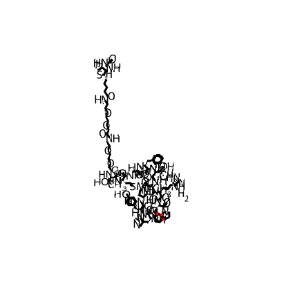 CSCC[C@H](NC(=O)[C@@H](NC(=O)COCCOCCNC(=O)COCCOCCNC(=O)CCCC[C@@H]1SC[C@@H]2NC(=O)N[C@@H]21)[C@@H](C)O)C(=O)NCC(=O)N[C@@H](Cc1ccccc1)C(=O)N[C@H](C(=O)N[C@@H](C)C(=O)N1CCC[C@H]1C(=O)N[C@@H](CCCNC(=N)N)C(=O)N[C@@H](Cc1ccccc1)C(=O)N1CCC[C@H]1C(=O)N[C@@H](Cc1cnc[nH]1)C(=O)N[C@@H](Cc1ccc(O)cc1)C(N)=O)[C@@H](C)O